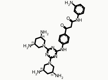 Nc1cccc(NC(=O)CC(=O)c2ccc(Nc3nc(N4C[C@H](N)C[C@H](N)C4)nc(N4C[C@H](N)C[C@H](N)C4)n3)cc2)c1